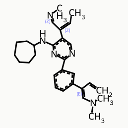 C=C/C(=C\N(C)C)c1cccc(-c2ncc(C(/C=N\C)=C/C)c(NC3CCCCCC3)n2)c1